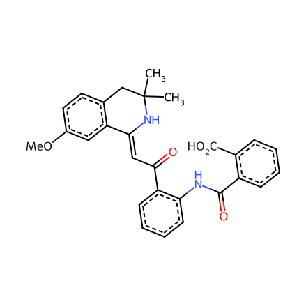 COc1ccc2c(c1)C(=CC(=O)c1ccccc1NC(=O)c1ccccc1C(=O)O)NC(C)(C)C2